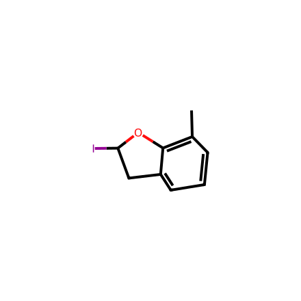 Cc1cccc2c1OC(I)C2